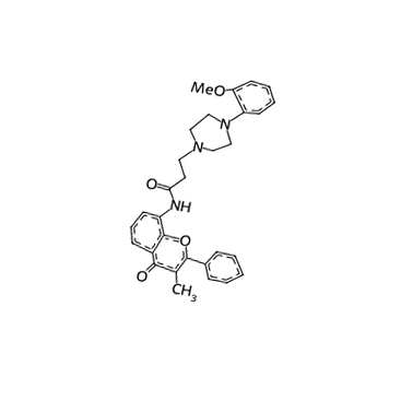 COc1ccccc1N1CCN(CCC(=O)Nc2cccc3c(=O)c(C)c(-c4ccccc4)oc23)CC1